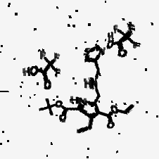 CCOC(=O)c1c(CNCc2cscn2)[nH]c(C(=O)OC(C)(C)C)c1CC.O=C(O)C(F)(F)F.O=C(O)C(F)(F)F